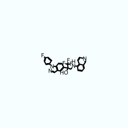 OC(CNc1cccc2cnccc12)(c1ccc2c(cnn2-c2ccc(F)cc2)c1)C(F)(F)F